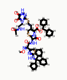 CO/N=C(/C(=O)NC1C(=O)N2C(C(=O)OC(c3ccccc3)c3ccccc3)=C(/C=C/Sc3n[nH]c(=O)c(=O)n3CCNC(C)=O)CSC12)c1csc(NC(c2ccccc2)(c2ccccc2)c2ccccc2)n1